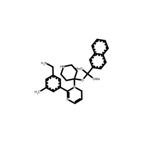 COC(OC)(OC1(N2CC=CN=C2c2cc(C)cc(CN)c2)CCNCC1)c1ccc2ccccc2c1